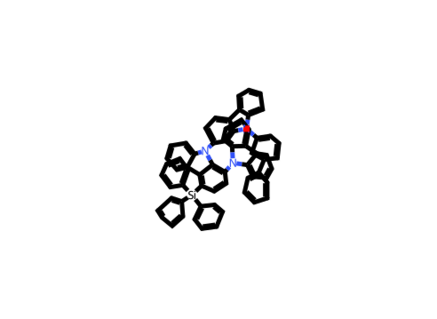 c1ccc(-c2cccc(-n3c4ccccc4c4ccc(-n5c6ccccc6c6c([Si](c7ccccc7)(c7ccccc7)c7ccccc7)ccc(-n7c8ccccc8c8ccccc87)c65)cc43)c2)cc1